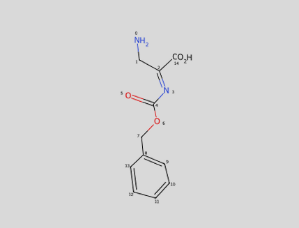 NC/C(=N\C(=O)OCc1ccccc1)C(=O)O